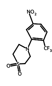 O=[N+]([O-])c1ccc(C(F)(F)F)c(N2CCS(=O)(=O)CC2)c1